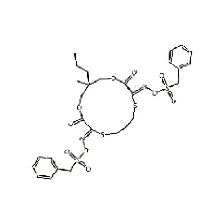 CCCC1(C)COC(=O)/C(=N/OS(=O)(=O)Cc2ccccc2)SCCCS/C(=N\OS(=O)(=O)Cc2ccccc2)C(=O)OC1